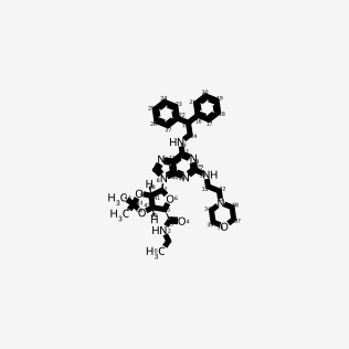 CCNC(=O)[C@H]1O[C@@H](n2cnc3c(NCC(c4ccccc4)c4ccccc4)nc(NCCN4CCOCC4)nc32)[C@@H]2OC(C)(C)O[C@@H]21